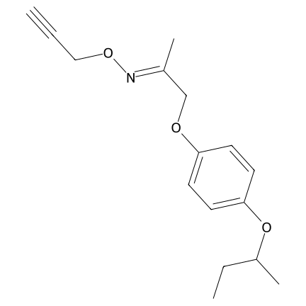 C#CCON=C(C)COc1ccc(OC(C)CC)cc1